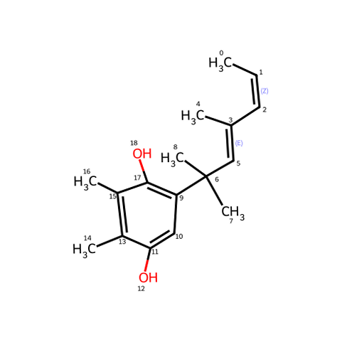 C/C=C\C(C)=C\C(C)(C)c1cc(O)c(C)c(C)c1O